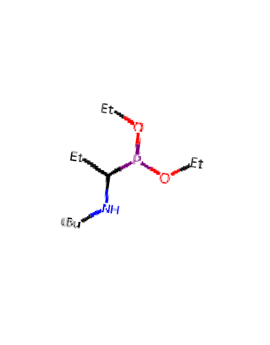 CCOP(OCC)C(CC)NC(C)(C)C